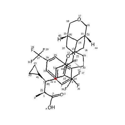 C[C@H](C(=O)O)[C@H](c1ccc2c(c1)OC(C1[C@@H]3COC[C@H]1CN([C@H](C)c1cc(C(F)(F)F)ccc1C(F)(F)F)C3)CC2)C1CC1